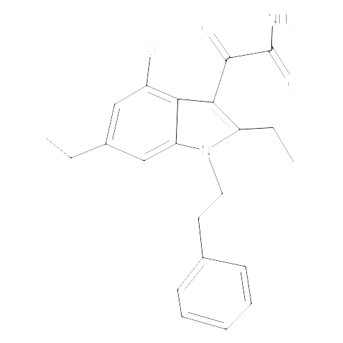 CCc1cc([O])c2c(C(=O)C(N)=O)c(CC)n(CCc3ccccc3)c2c1